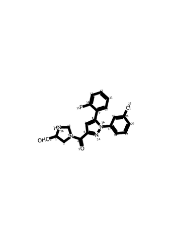 O=CC1CN(C(=O)c2cc(-c3ccccc3F)n(-c3cccc(Cl)c3)n2)CN1